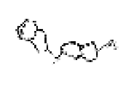 Nc1ccc2nc(C(=O)C3Cc4ccccc4C3)ccc2c1